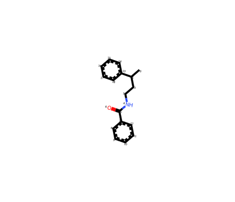 CC(CCNC(=O)c1ccccc1)c1ccccc1